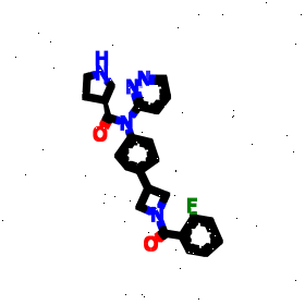 O=C(c1ccccc1F)N1CC(c2ccc(N(C(=O)[C@H]3CCNC3)c3cccnn3)cc2)C1